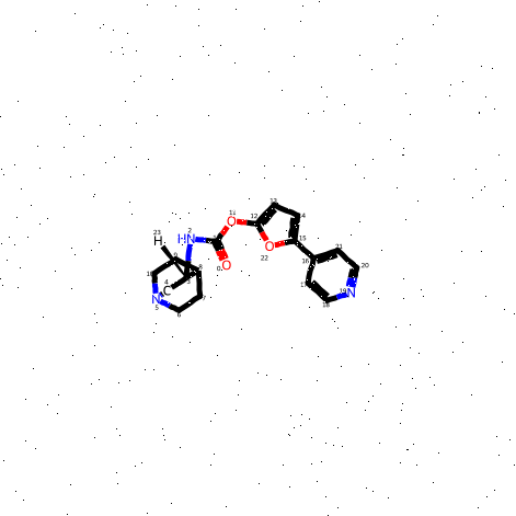 O=C(N[C@H]1CN2CCC1CC2)Oc1ccc(-c2ccncc2)o1